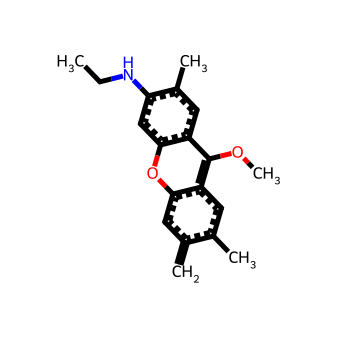 C=c1cc2c(cc1C)=C(OC)c1cc(C)c(NCC)cc1O2